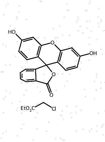 CCOC(=O)CCl.O=C1OC2(c3ccc(O)cc3Oc3cc(O)ccc32)c2ccccc21